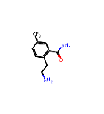 NC[CH]c1ccc(C(F)(F)F)cc1C(N)=O